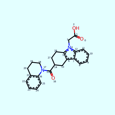 O=C(O)Cn1c2c(c3ccccc31)CC(C(=O)N1CCCc3ccccc31)CC2